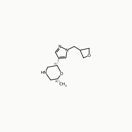 C[C@@H]1CNC[C@H](c2cnn(CC3COC3)c2)O1